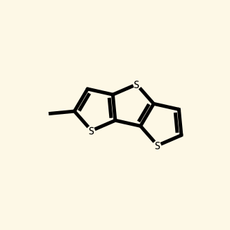 Cc1cc2sc3ccsc3c2s1